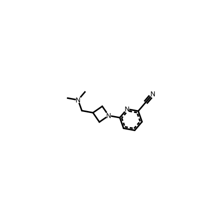 CN(C)CC1CN(c2cccc(C#N)n2)C1